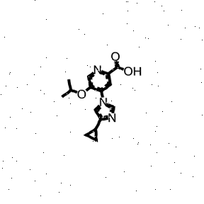 CC(C)Oc1cnc(C(=O)O)cc1-n1cnc(C2CC2)c1